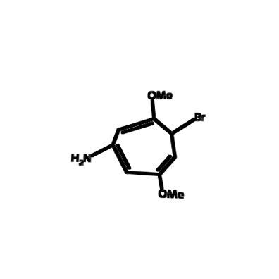 COC1=CC(Br)C(OC)=CC(N)=C1